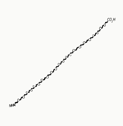 [N-]=[N+]=NCCOCCOCCOCCOCCOCCOCCOCCOCCOCCOCCOCCOCCOCCOCCOCCOCCOCCOCCOCCOCCOCCOCCC(=O)O